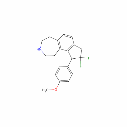 COc1ccc(C2c3c(ccc4c3CCNCC4)CC2(F)F)cc1